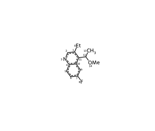 CCc1cnc2ccc(F)cc2c1C(C)OC